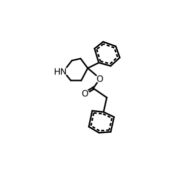 O=C(Cc1ccccc1)OC1(c2ccccc2)CCNCC1